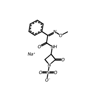 CON=C(C(=O)NC1CN(S(=O)(=O)[O-])C1=O)c1ccccc1.[Na+]